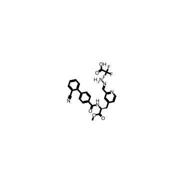 COC(=O)[C@H](Cc1ccnc(C=NN)c1)NC(=O)c1ccc(-c2ccccc2C#N)cc1.O=C(O)C(F)(F)F